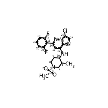 CC1CN(S(C)(=O)=O)CCC1Nc1cc(-c2c(F)cccc2F)nn2c(Cl)cnc12